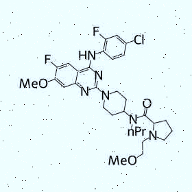 CCCN(C(=O)C1CCCN1CCOC)C1CCN(c2nc(Nc3ccc(Cl)cc3F)c3cc(F)c(OC)cc3n2)CC1